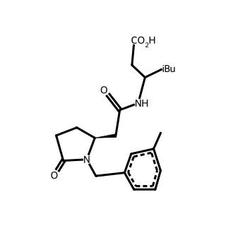 CCC(C)C(CC(=O)O)NC(=O)C[C@@H]1CCC(=O)N1Cc1cccc(C)c1